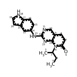 CCC(C)n1c(=O)ccc2cnc(Nc3ccc4[nH]ccc4c3)nc21